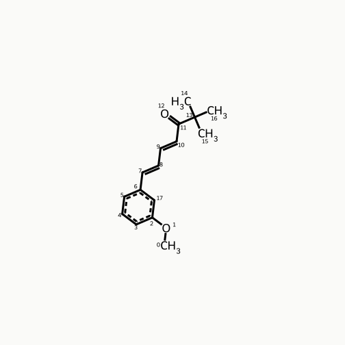 COc1cccc(/C=C/C=C/C(=O)C(C)(C)C)c1